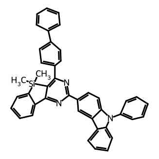 C[Si]1(C)c2ccccc2-c2nc(-c3ccc4c(c3)c3ccccc3n4-c3ccccc3)nc(-c3ccc(-c4ccccc4)cc3)c21